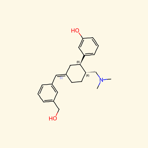 CN(C)C[C@@H]1CC/C(=C\c2cccc(CO)c2)C[C@H]1c1cccc(O)c1